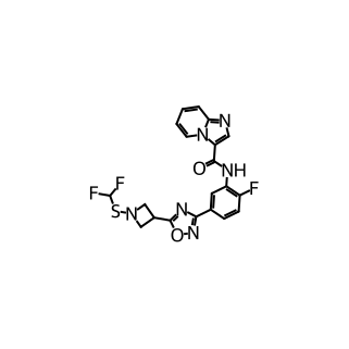 O=C(Nc1cc(-c2noc(C3CN(SC(F)F)C3)n2)ccc1F)c1cnc2ccccn12